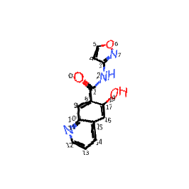 O=C(Nc1ccon1)c1cc2ncccc2cc1O